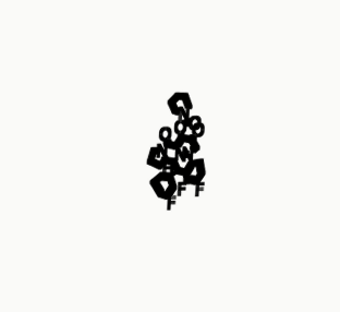 O=C(Oc1c2n(ncc1=O)[C@@H]([C@H](c1cccc(F)c1)c1cccc(F)c1F)[C@H]1CCCN1C2=O)N1CCCCC1